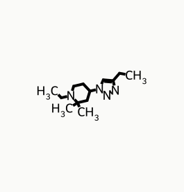 CCc1cn(C2CCN(CC)C(C)(C)C2)nn1